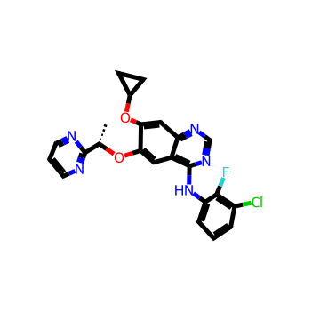 C[C@H](Oc1cc2c(Nc3cccc(Cl)c3F)ncnc2cc1OC1CC1)c1ncccn1